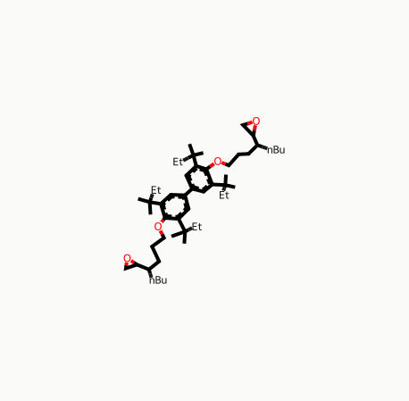 CCCCC(CCCOc1c(C(C)(C)CC)cc(-c2cc(C(C)(C)CC)c(OCCCC(CCCC)C3CO3)c(C(C)(C)CC)c2)cc1C(C)(C)CC)C1CO1